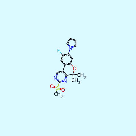 CC1(C)Oc2cc(-n3cccc3)c(F)cc2-c2cnc(S(C)(=O)=O)nc21